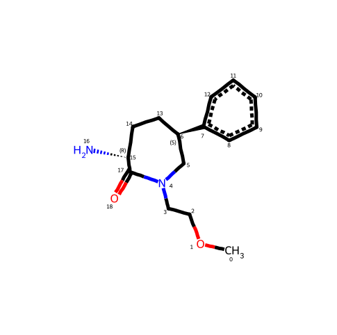 COCCN1C[C@H](c2ccccc2)CC[C@@H](N)C1=O